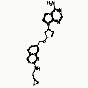 Nc1ncnc2c1ccn2C1CCC(OCc2ccc3ccc(NCC4CC4)nc3c2)C1